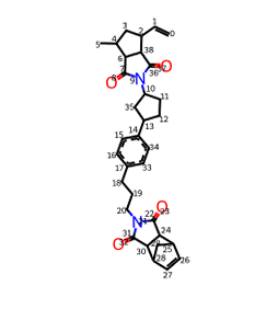 C=CC1CC(C)C2C(=O)N(C3CCC(c4ccc(CCCN5C(=O)C6C7C=CC(C7)C6C5=O)cc4)C3)C(=O)C12